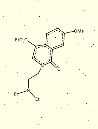 CCOC(=O)c1cn(CCN(CC)CC)c(=O)c2cc(OC)ccc12